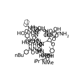 CCCCc1ccc(NC(=O)NC(=O)C[C@@H]2NC(=O)[C@H](NC(=O)[C@@H](CC(C)C)NC)[C@H](O)c3ccc(c(C)c3)Oc3cc4cc(c3O[C@@H]3O[C@H](CN)[C@@H](O)[C@H](O)[C@H]3O)Oc3ccc(cc3Cl)[C@@H](O)[C@@H]3NC(=O)[C@H](NC(=O)C4NC2=O)c2ccc(O)c(c2)-c2c(O)cc(O)cc2[C@@H](C(=O)NC2C4CC5CC(C4)CC2C5)NC3=O)cc1